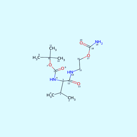 CC(C)C(NC(=O)OC(C)(C)C)C(=O)NCCOC(N)=O